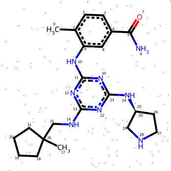 Cc1ccc(C(N)=O)cc1Nc1nc(NCC2(C)CCCC2)nc(N[C@H]2CCNC2)n1